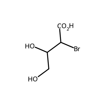 O=C(O)C(Br)C(O)CO